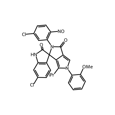 COc1ccccc1-n1cc2c(c1C(C)C)C1(C(=O)Nc3cc(Cl)ccc31)N(c1cc(Cl)ccc1N=O)C2=O